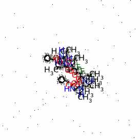 CC(C)C[C@H](NC(=O)OCc1ccccc1)C(=O)N[C@@H](CC(C)C)C(=O)N[C@@H](CC(C)C)C(=O)C(F)C(=O)C(F)C(=O)[C@H](CC(C)C)NC(=O)[C@H](CC(C)C)NC(=O)[C@H](CC(C)C)NC(=O)OCc1ccccc1